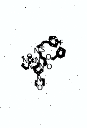 CN1CCN(c2cc(N3CCOCC3)cn3c(=O)c(OCc4ccccc4)c(-c4ncc(Cc5ccc(F)cc5)s4)nc23)S1(=O)=O